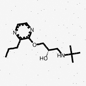 CCCc1nccnc1OC[C@@H](O)CNC(C)(C)C